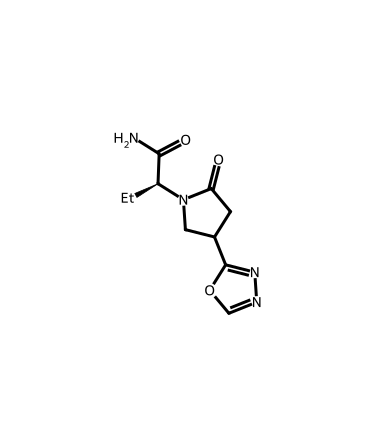 CC[C@@H](C(N)=O)N1CC(c2nnco2)CC1=O